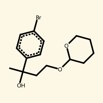 CC(O)(CCOC1CCCCO1)c1ccc(Br)cc1